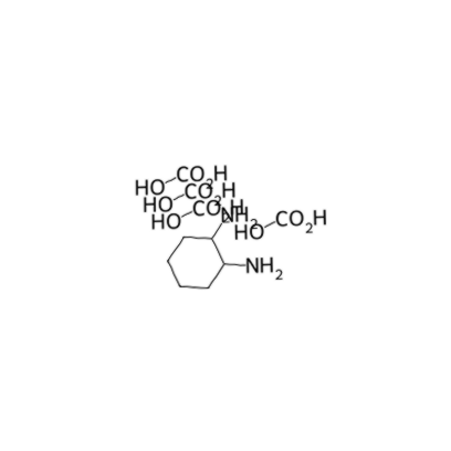 NC1CCCCC1N.O=C(O)O.O=C(O)O.O=C(O)O.O=C(O)O